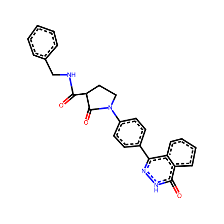 O=C(NCc1ccccc1)C1CCN(c2ccc(-c3n[nH]c(=O)c4ccccc34)cc2)C1=O